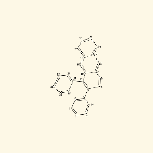 c1ccc(-c2ccc3cc4ccccc4cc3c2-c2ccccc2)cc1